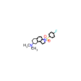 CN(C)C1CCc2ccc3c(ccn3S(=O)(=O)c3ccc(F)cc3)c2C1